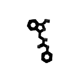 O=C(NCC1OB(O)c2ccccc21)Oc1ccccc1